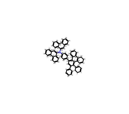 C1=CCCC(c2c(-c3ccccc3)cc(-c3ccc(N(c4cc5ccccc5c5ccccc45)c4cc5ccccc5c5ccccc45)cc3)c3c2c2c(c4ccccc43)CCC=C2)=C1